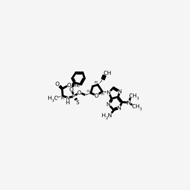 C#C[C@H]1C[C@@H](COP(=S)(N[C@H](C)C(=O)OC)Oc2ccccc2)O[C@H]1n1cnc2c(N(C)C)nc(N)nc21